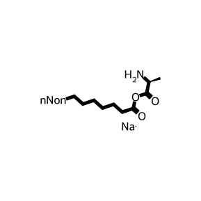 CCCCCCCCCCCCCCCC(=O)OC(=O)[C@H](C)N.[Na]